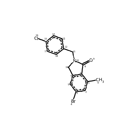 Cc1cc(Br)cc2c1C(=O)N(Cc1ccc(Cl)cc1)C2